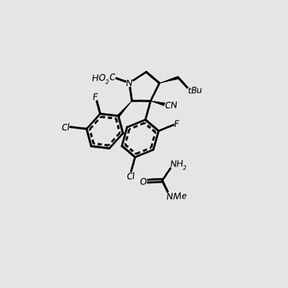 CC(C)(C)C[C@@H]1CN(C(=O)O)[C@H](c2cccc(Cl)c2F)[C@@]1(C#N)c1ccc(Cl)cc1F.CNC(N)=O